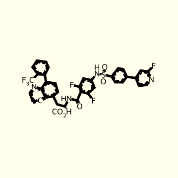 O=C(N[C@@H](Cc1ccc(-c2ccccc2C(F)(F)F)c2ncccc12)C(=O)O)c1c(F)cc(NS(=O)(=O)c2ccc(-c3ccnc(F)c3)cc2)cc1F